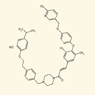 Cc1cc(C=CC(=O)N2CCN(Cc3ccc(CCOc4ccc(C(C)C)cc4)cc3)CC2)cc(Cl)c1Oc1ccc(OCc2ccc(Cl)nc2)cn1.Cl